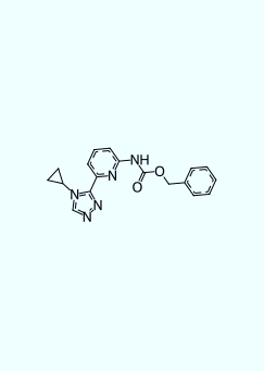 O=C(Nc1cccc(-c2nncn2C2CC2)n1)OCc1ccccc1